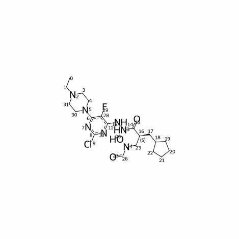 CCN1CCN(c2nc(Cl)nc(NNC(=O)[C@@H](CC3CCCC3)CN(O)C=O)c2F)CC1